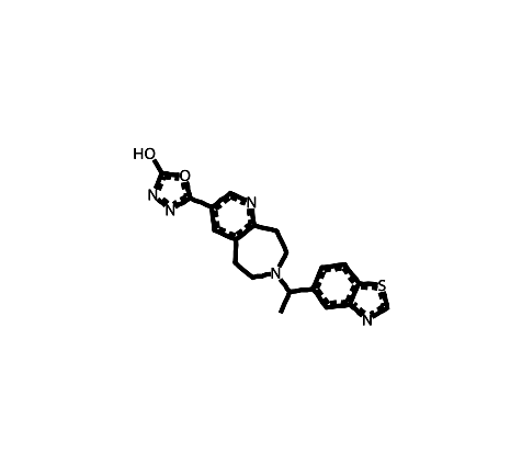 CC(c1ccc2scnc2c1)N1CCc2cc(-c3nnc(O)o3)cnc2CC1